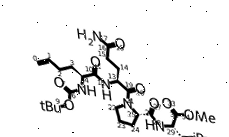 C=CCC[C@H](NC(=O)OC(C)(C)C)C(=O)N[C@@H](CCC(N)=O)C(=O)N1CCC[C@H]1C(=O)N[C@@H](CC(C)C)C(=O)OC